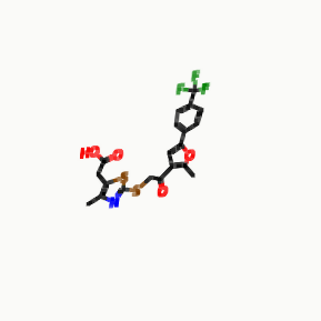 Cc1nc(SCC(=O)c2cc(-c3ccc(C(F)(F)F)cc3)oc2C)sc1CC(=O)O